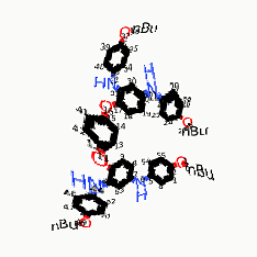 CCCCOc1ccc(Nc2ccc(Oc3ccc(Oc4ccc(Nc5ccc(OCCCC)cc5)cc4Nc4ccc(OCCCC)cc4)cc3)c(Nc3ccc(OCCCC)cc3)c2)cc1